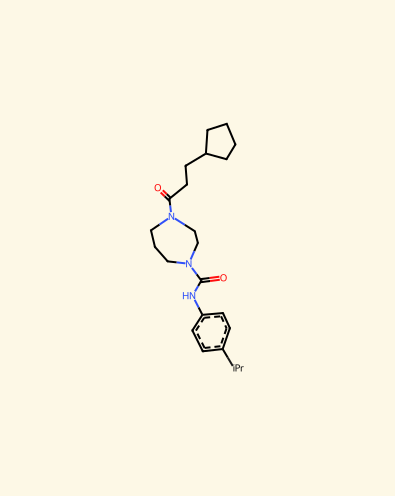 CC(C)c1ccc(NC(=O)N2CCCN(C(=O)CCC3CCCC3)CC2)cc1